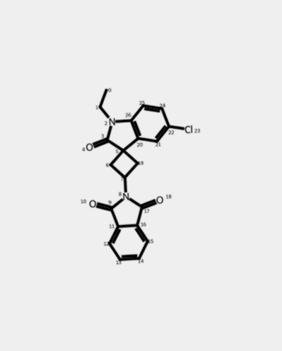 CCN1C(=O)C2(CC(N3C(=O)c4ccccc4C3=O)C2)c2cc(Cl)ccc21